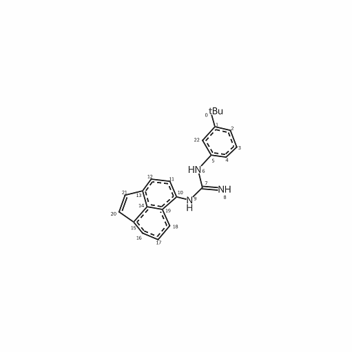 CC(C)(C)c1cccc(NC(=N)Nc2ccc3c4c(cccc24)C=C3)c1